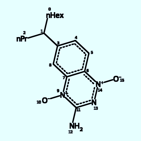 CCCCCCC(CCC)c1ccc2c(c1)[n+]([O-])c(N)n[n+]2[O-]